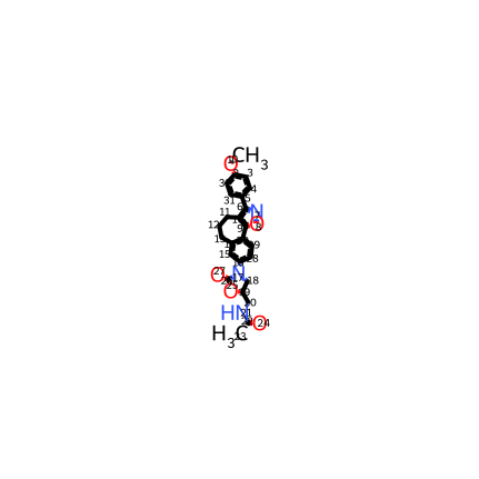 COc1ccc(-c2noc3c2CCCc2cc(N4CC(CNC(C)=O)OC4=O)ccc2-3)cc1